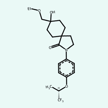 CCOCC1(O)CCC2(CCN(c3ccc(O[C@@H](C)C(F)(F)F)cc3)C2=O)CC1